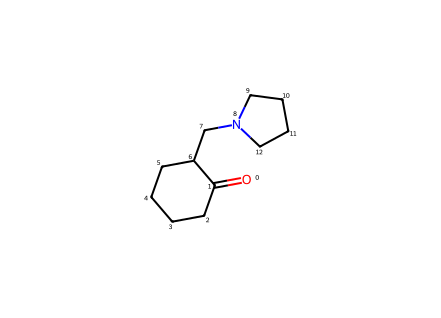 O=C1CCCCC1CN1CCCC1